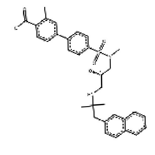 Cc1cc(-c2ccc(S(=O)(=O)N(C)C[C@H](O)CNC(C)(C)Cc3ccc4ccccc4c3)cc2)ccc1C(=O)O